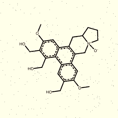 COc1cc2c3c(c4cc(OC)c(CO)c(CO)c4c2cc1CO)CC1CCC[N+]1([O-])C3